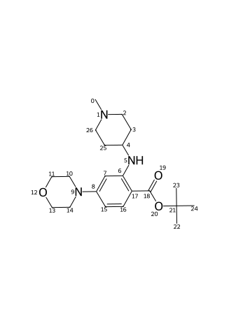 CN1CCC(Nc2cc(N3CCOCC3)ccc2C(=O)OC(C)(C)C)CC1